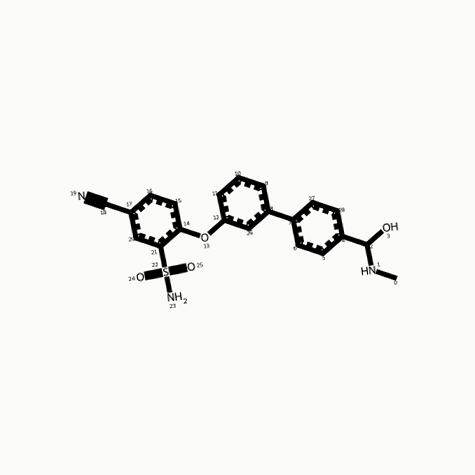 CNC(O)c1ccc(-c2cccc(Oc3ccc(C#N)cc3S(N)(=O)=O)c2)cc1